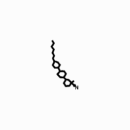 CCCCCCCC1CCC(C2CCC(C3CCCC(C)(C#N)C3)CC2)CC1